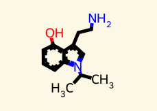 CC(C)n1cc(CCN)c2c(O)cccc21